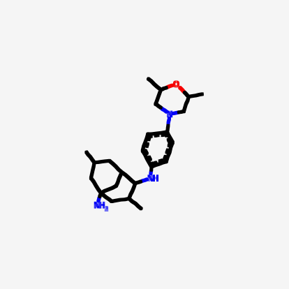 CC1CC2CC(N)(C1)CC(C)C2Nc1ccc(N2CC(C)OC(C)C2)cc1